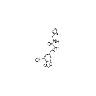 C[C@@H](SCc1cc(Cl)c2c(c1)OCO2)C(=O)NCc1cccs1